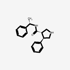 C[C@H](NC(=O)[C@@H]1CNC[C@H]1c1ccccc1)c1ccccc1